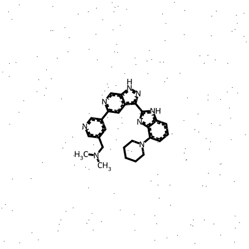 CN(C)Cc1cncc(-c2cc3c(-c4nc5c(N6CCCCC6)cccc5[nH]4)n[nH]c3cn2)c1